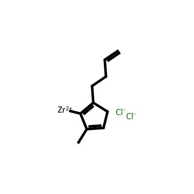 C=CCCC1=[C]([Zr+2])C(C)=CC1.[Cl-].[Cl-]